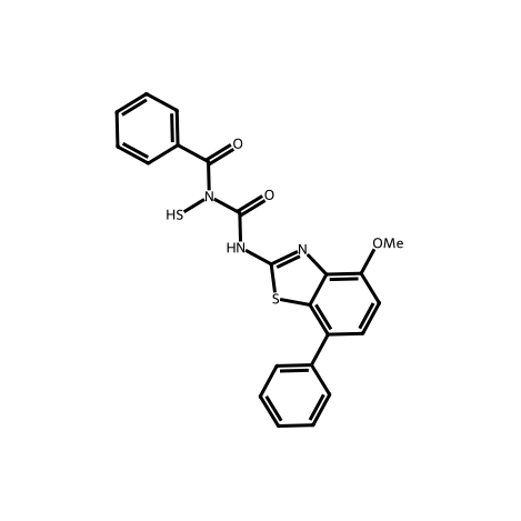 COc1ccc(-c2ccccc2)c2sc(NC(=O)N(S)C(=O)c3ccccc3)nc12